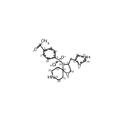 CC(=O)c1ccc(S(=O)(=O)N2C(Cc3c[nH]cn3)COC23CCNCC3)cc1